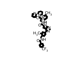 Cc1cc(-c2ncnc3[nH]c(C(=O)NCCCN4[C@@H](c5ncccc5C)CCC[C@H]4c4ncccc4C)cc23)ccc1CNC(=O)c1ccc(C(F)(F)F)cc1